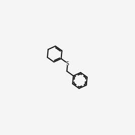 C1=CC(SCc2ccccc2)=CCC1